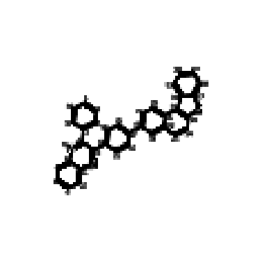 c1ccc(-c2nc3ccccc3nc2-c2ccc(-c3ccc4c(ccc5sc6ccccc6c54)c3)cc2)cc1